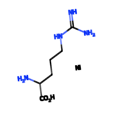 N=C(N)NCCCC(N)C(=O)O.[Ni]